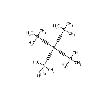 C[Si](C)(C)C#C[B-](C#C[Si](C)(C)C)(C#C[Si](C)(C)C)C#C[Si](C)(C)C.[Li+]